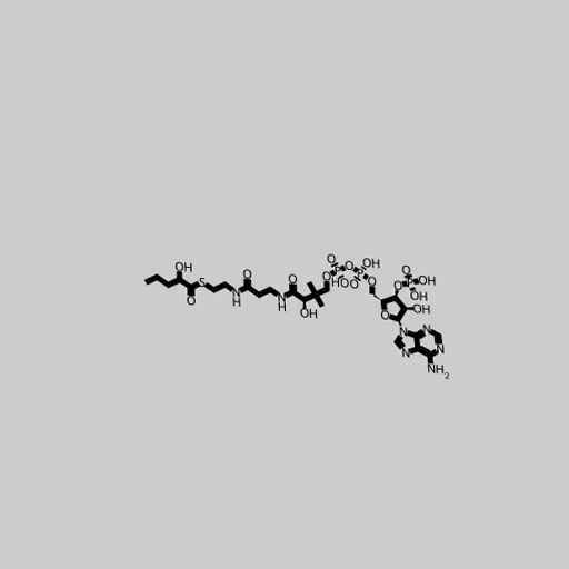 CCCC(O)C(=O)SCCNC(=O)CCNC(=O)[C@H](O)C(C)(C)COP(=O)(O)OP(=O)(O)OC[C@H]1O[C@@H](n2cnc3c(N)ncnc32)[C@H](O)[C@@H]1OP(=O)(O)O